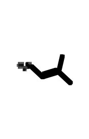 CC(C)=C[SiH2]